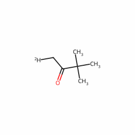 [2H]CC(=O)C(C)(C)C